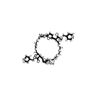 COC12C=C/C(=C(/C(=O)OCc3ccncc3)C(=O)CCCCCCCCC3(OC)C=C/C(=C(\C(=O)OCc4ccncc4)C(=O)CCCCCCCC1)O3)O2